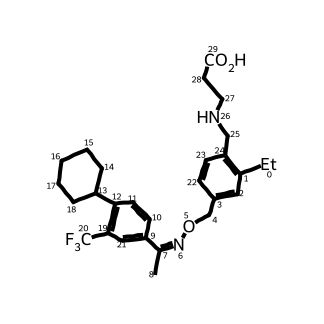 CCc1cc(CON=C(C)c2ccc(C3CCCCC3)c(C(F)(F)F)c2)ccc1CNCCC(=O)O